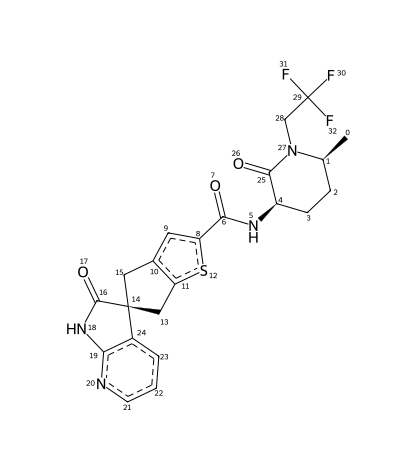 C[C@H]1CC[C@@H](NC(=O)c2cc3c(s2)C[C@]2(C3)C(=O)Nc3ncccc32)C(=O)N1CC(F)(F)F